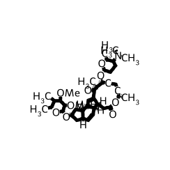 COC1C(O[C@H]2C[C@H]3[C@@H]4C=C5C(=O)[C@H](C)[C@@H](OC6CCC(N(C)C)C(C)O6)CCC[C@H](C)OC(=O)C[C@H]5[C@@H]4C=C[C@@H]3C2)OC(C)C(C)C1OC